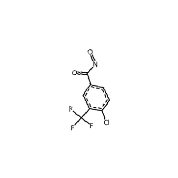 O=NC(=O)c1ccc(Cl)c(C(F)(F)F)c1